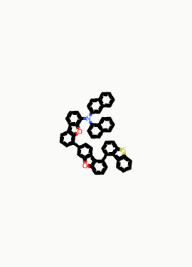 c1ccc2cc(N(c3cccc4ccccc34)c3cccc4c3oc3c(-c5ccc6c(c5)oc5cccc(-c7cccc8sc9ccccc9c78)c56)cccc34)ccc2c1